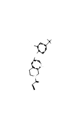 C=CC(=O)N1CCc2cc(Oc3ccc(C(F)(F)F)cc3F)cnc2C1